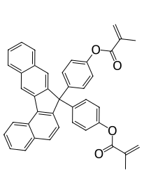 C=C(C)C(=O)Oc1ccc(C2(c3ccc(OC(=O)C(=C)C)cc3)c3cc4ccccc4cc3-c3c2ccc2ccccc32)cc1